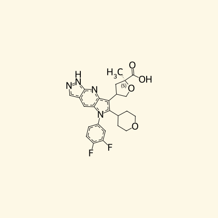 C[C@@]1(C(=O)O)CC(c2c(C3CCOCC3)n(-c3ccc(F)c(F)c3)c3cc4cn[nH]c4nc23)CO1